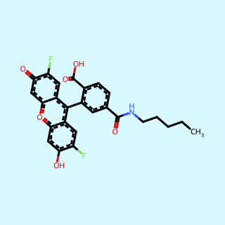 CCCCCNC(=O)c1ccc(C(=O)O)c(-c2c3cc(F)c(=O)cc-3oc3cc(O)c(F)cc23)c1